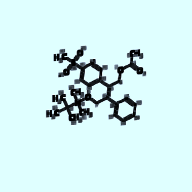 CC(=O)OCC(=C(CO[Si](C)(C)C(C)(C)C)c1ccccc1)c1ccc(S(C)(=O)=O)cc1